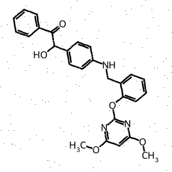 COc1cc(OC)nc(Oc2ccccc2CNc2ccc(C(O)C(=O)c3ccccc3)cc2)n1